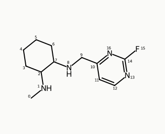 CNC1CCCCC1NCc1ccnc(F)n1